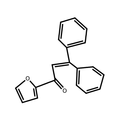 O=C(C=C(c1ccccc1)c1ccccc1)c1ccco1